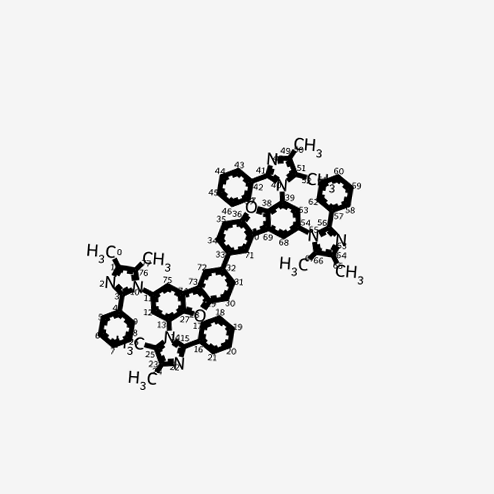 Cc1nc(-c2ccccc2)n(-c2cc(-n3c(-c4ccccc4)nc(C)c3C)c3oc4ccc(-c5ccc6oc7c(-n8c(-c9ccccc9)nc(C)c8C)cc(-n8c(-c9ccccc9)nc(C)c8C)cc7c6c5)cc4c3c2)c1C